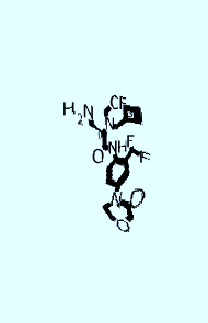 NC[C@H](C(=O)Nc1ccc(N2CCOCC2=O)cc1C(F)F)N(CC1CCC1)CC(F)(F)F